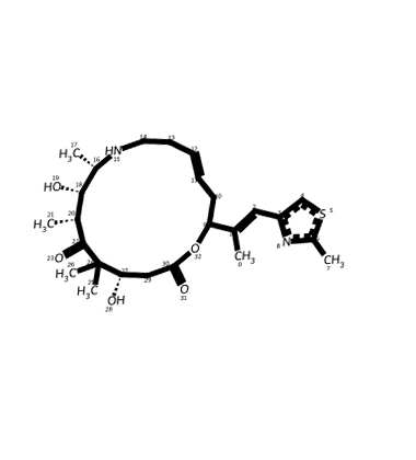 C/C(=C\c1csc(C)n1)C1C/C=C/CCN[C@@H](C)[C@@H](O)[C@@H](C)C(=O)C(C)(C)[C@@H](O)CC(=O)O1